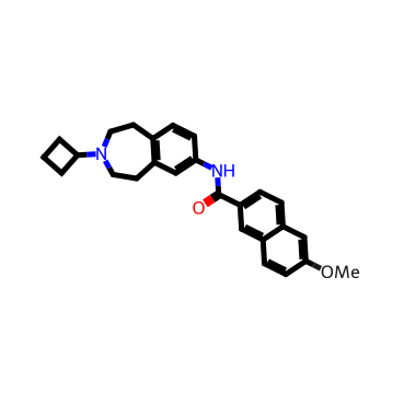 COc1ccc2cc(C(=O)Nc3ccc4c(c3)CCN(C3CCC3)CC4)ccc2c1